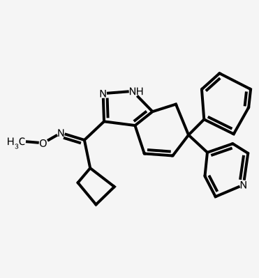 CO/N=C(/c1n[nH]c2c1C=CC(c1ccccc1)(c1ccncc1)C2)C1CCC1